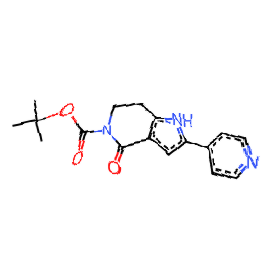 CC(C)(C)OC(=O)N1CCc2[nH]c(-c3ccncc3)cc2C1=O